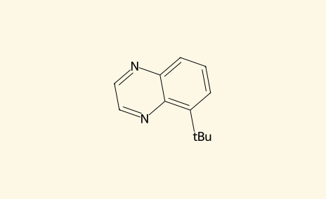 CC(C)(C)c1cccc2nccnc12